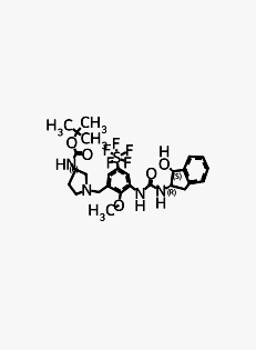 COc1c(CN2CC[C@@H](NC(=O)OC(C)(C)C)C2)cc(S(F)(F)(F)(F)F)cc1NC(=O)N[C@@H]1Cc2ccccc2[C@@H]1O